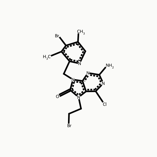 Cc1cnc(Cn2c(=O)n(CCBr)c3c(Cl)nc(N)nc32)c(C)c1Br